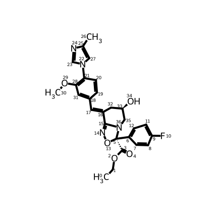 CCOC(=O)[C@]1(c2ccc(F)cc2)ON=C2/C(=C/c3ccc(-n4cnc(C)c4)c(OC)c3)C[C@@H](O)CN21